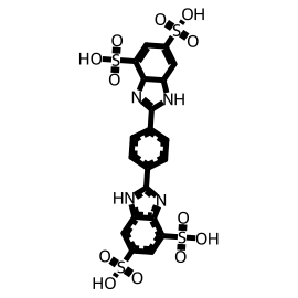 O=S(=O)(O)C1=CC2NC(c3ccc(-c4nc5c(S(=O)(=O)O)cc(S(=O)(=O)O)cc5[nH]4)cc3)=NC2C(S(=O)(=O)O)=C1